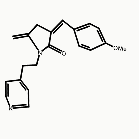 C=C1C/C(=C/c2ccc(OC)cc2)C(=O)N1CCc1ccncc1